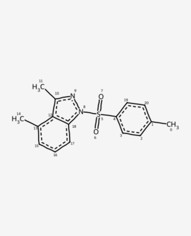 Cc1ccc(S(=O)(=O)n2nc(C)c3c(C)cccc32)cc1